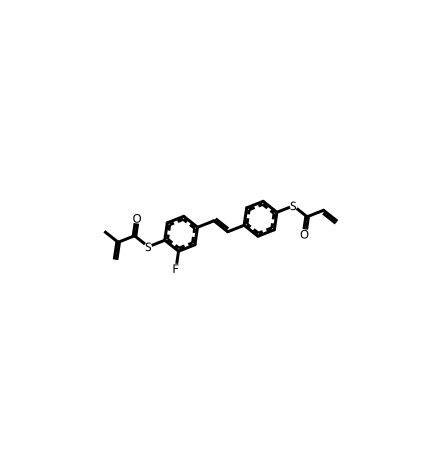 C=CC(=O)Sc1ccc(/C=C/c2ccc(SC(=O)C(=C)C)c(F)c2)cc1